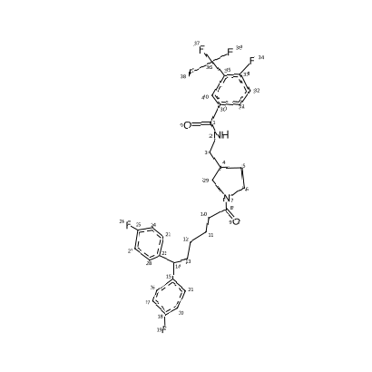 O=C(NCC1CCN(C(=O)CCCCC(c2ccc(F)cc2)c2ccc(F)cc2)C1)c1ccc(F)c(C(F)(F)F)c1